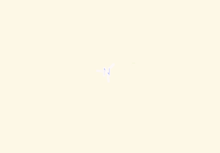 C=CC(F)N1CCc2ccccc21